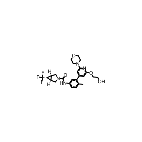 Cc1ccc(NC(=O)N2C[C@@H]3[C@H](C2)[C@H]3C(F)(F)F)cc1-c1cc(OCCO)nc(N2CCOCC2)c1